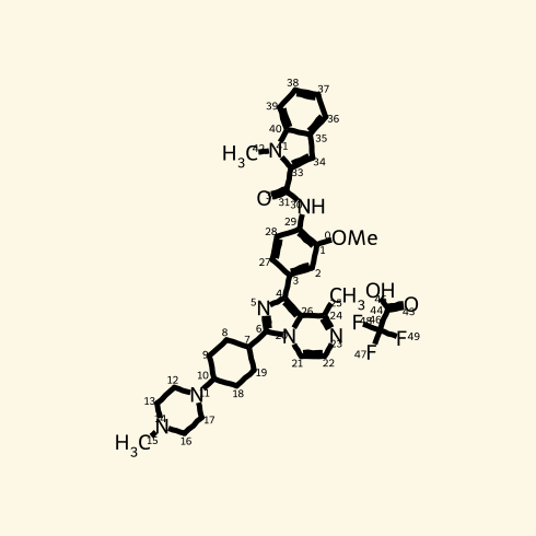 COc1cc(-c2nc(C3CCC(N4CCN(C)CC4)CC3)n3ccnc(C)c23)ccc1NC(=O)c1cc2ccccc2n1C.O=C(O)C(F)(F)F